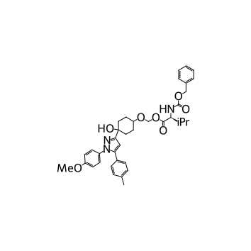 COc1ccc(-n2nc(C3(O)CCC(OCOC(=O)[C@@H](NC(=O)OCc4ccccc4)C(C)C)CC3)cc2-c2ccc(C)cc2)cc1